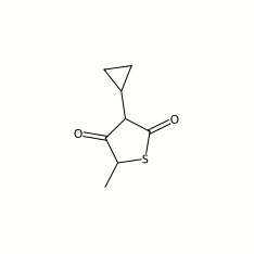 CC1SC(=O)C(C2CC2)C1=O